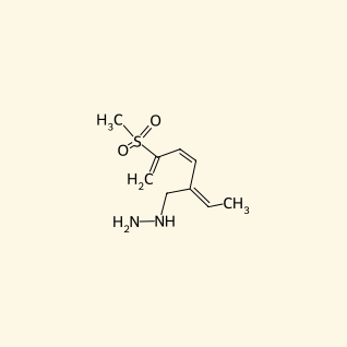 C=C(/C=C\C(=C/C)CNN)S(C)(=O)=O